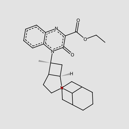 CCOC(=O)c1nc2ccccc2n([C@@]2(C)C[C@@H]3C2CCN3C2C3CCCC2CCC3)c1=O